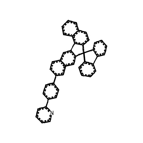 c1ccc(-c2ccc(-c3ccc4cc5c(cc4c3)C3(c4ccccc4-c4ccccc43)c3ccc4ccccc4c3-5)cc2)nc1